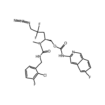 CN(C(=O)NCc1cccc(F)c1Cl)[C@H](COC(=O)Nc1cc2cc(F)ccc2cn1)CC(F)(F)CN=[N+]=[N-]